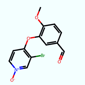 COc1ccc(C=O)cc1Oc1cc[n+]([O-])cc1Br